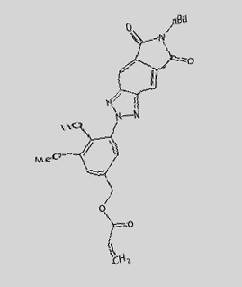 C=CC(=O)OCc1cc(OC)c(O)c(-n2nc3cc4c(cc3n2)C(=O)N(CCCC)C4=O)c1